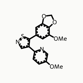 COc1ccc(-c2cnsc2-c2cc(OC)c3c(c2)OCO3)nc1